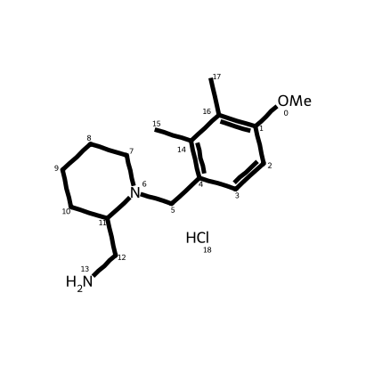 COc1ccc(CN2CCCCC2CN)c(C)c1C.Cl